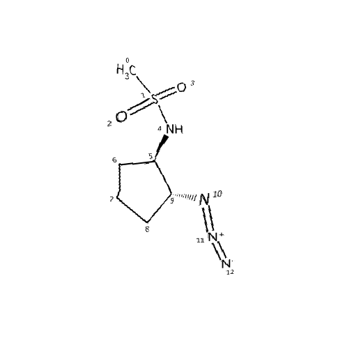 CS(=O)(=O)N[C@@H]1CCC[C@H]1N=[N+]=[N-]